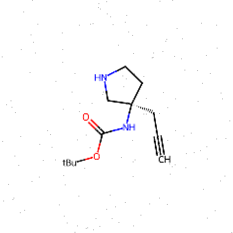 C#CC[C@@]1(NC(=O)OC(C)(C)C)CCNC1